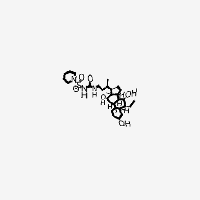 CC[C@H]1[C@@H](O)[C@@H]2[C@H](C[C@H](O)[C@]3(C)[C@@H]([C@H](C)CCNC(=O)NS(=O)(=O)N4CCCCC4)CC[C@@H]23)[C@@]2(C)CC[C@@H](O)C[C@@H]12